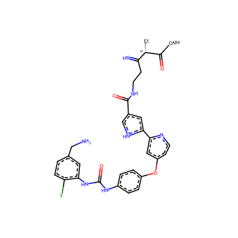 CC[C@@H](C(=N)CCNC(=O)c1c[nH]c(-c2cc(Oc3ccc(NC(=O)Nc4cc(CN)ccc4F)cc3)ccn2)c1)C(=O)OC